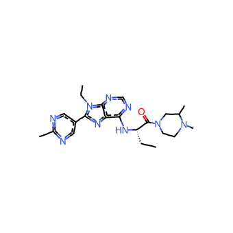 CC[C@H](Nc1ncnc2c1nc(-c1cnc(C)nc1)n2CC)C(=O)N1CCN(C)C(C)C1